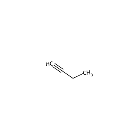 C#CCC